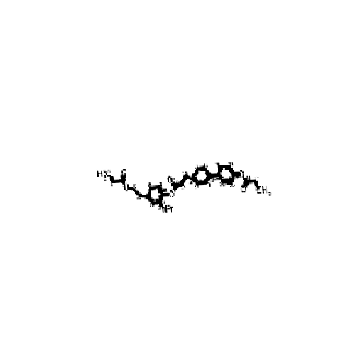 C=CC(=O)OCCc1ccc(OC(=O)/C=C/c2ccc(-c3ccc(OC(=O)C=C)cc3)cc2)c(CCC)c1